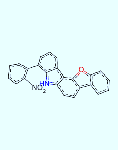 O=[N+]([O-])c1ccccc1-c1cccc2c1[nH]c1ccc3c4ccccc4oc3c12